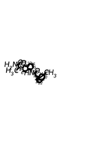 CC(C(N)=O)n1ccc2c(NC(=O)CC34CC5=CC(C)(CC(C5)C3)C4)cccc2c1=O